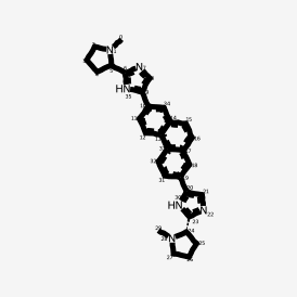 CN1CCCC1c1ncc(-c2ccc3c(ccc4cc(-c5cnc([C@@H]6CCCN6C)[nH]5)ccc43)c2)[nH]1